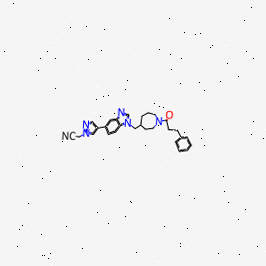 N#CCn1cc(-c2ccc3c(c2)ncn3CC2CCCN(C(=O)CCc3ccccc3)CC2)cn1